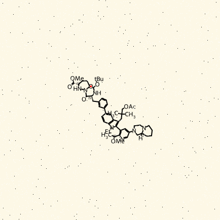 CCn1c(-c2cc(N3CCN4CCCC[C@@H]4C3)cnc2[C@H](C)OC)c(CC(C)(C)COC(C)=O)c2cc(-c3cccc(C[C@H](NC(=O)OC(C)(C)C)C(=O)N4CCC[C@@H](C(=O)OC)N4)c3)ccc21